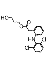 O=C(Cc1ccccc1Nc1c(Cl)cccc1Cl)OCCCO